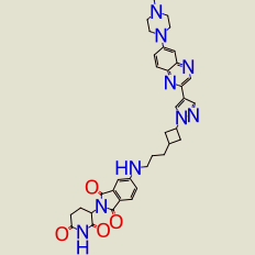 CN1CCN(c2ccc3nc(-c4cnn(C5CC(CCCNc6ccc7c(c6)C(=O)N(C6CCC(=O)NC6=O)C7=O)C5)c4)cnc3c2)CC1